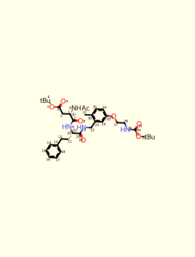 CC(=O)N[C@@H](CC(=O)OC(C)(C)C)C(=O)N[C@@H](CCc1ccccc1)C(=O)NCc1cc(OCCNC(=O)OC(C)(C)C)ccc1C